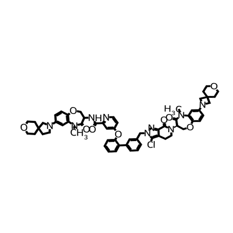 CN1C(=O)C(NC(=O)c2cc(Oc3ccccc3-c3cccc(Cn4nc5c(c4Cl)CCN([C@@H]4COc6ccc(N7CC8(CCOCC8)C7)cc6N(C)C4=O)C5=O)c3)ccn2)COc2ccc(N3CCC4(CCOCC4)C3)cc21